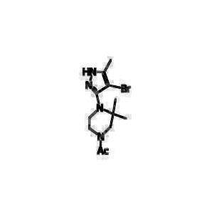 CC(=O)N1CCN(c2n[nH]c(C)c2Br)C(C)(C)C1